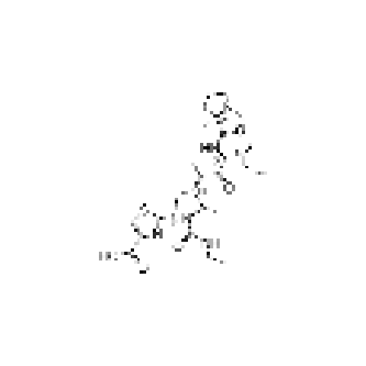 CCNC(=O)N1C(C)[C@H](N(C)C(=O)[C@@H](NC(=O)[C@@]2(C)CCCN2C)[C@@H](C)CC)C[C@@H]1c1nc(C(=O)O)cs1